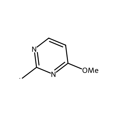 [CH2]c1nccc(OC)n1